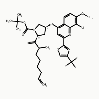 C=CCCCCN(C)C(=O)[C@@H]1C[C@H](Oc2cc(-c3nc(C(F)(F)F)cs3)nc3c(Cl)c(OC)ccc23)CN1C(=O)OC(C)(C)C